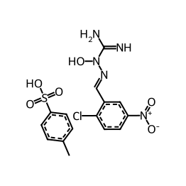 Cc1ccc(S(=O)(=O)O)cc1.N=C(N)N(O)N=Cc1cc([N+](=O)[O-])ccc1Cl